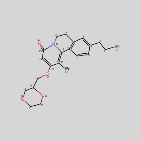 CC(C)CCc1ccc2c(c1)CCn1c-2c(C(C)C)c(OCC2COCCO2)cc1=O